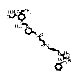 C=C[C@]1(C)CC[C@@H](C(=C)CN2CCCC(COC(=O)CCC(=O)OCC#CCOc3no[n+]([O-])c3S(=O)(=O)c3ccccc3)C2)C[C@H]1C(=C)CCl